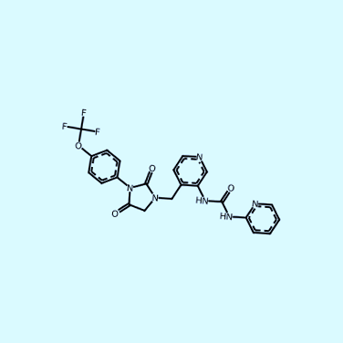 O=C(Nc1ccccn1)Nc1cnccc1CN1CC(=O)N(c2ccc(OC(F)(F)F)cc2)C1=O